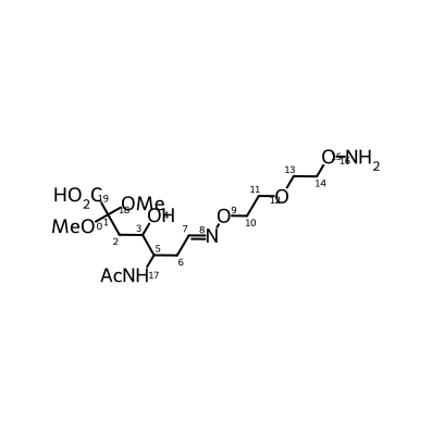 COC(CC(O)C(C/C=N/OCCOCCON)NC(C)=O)(OC)C(=O)O